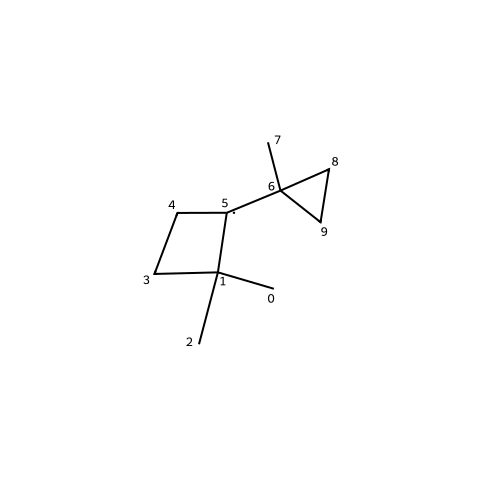 CC1(C)CC[C]1C1(C)CC1